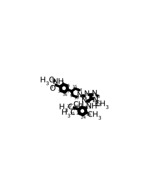 CNC(=O)c1ccc(C2CCN(c3nc(Nc4cc(C(C)(C)C)ccc4C)c4c(ncn4C)n3)CC2)cc1